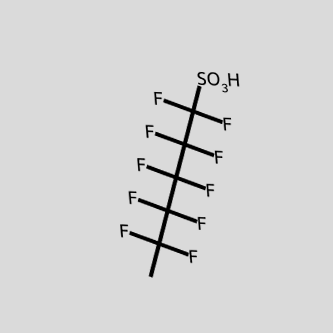 CC(F)(F)C(F)(F)C(F)(F)C(F)(F)C(F)(F)S(=O)(=O)O